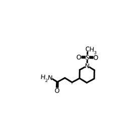 CS(=O)(=O)N1CCCC([CH]CC(N)=O)C1